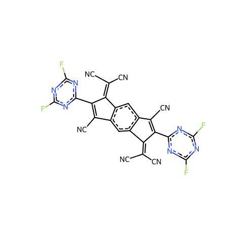 N#CC(C#N)=C1C(c2nc(F)nc(F)n2)=C(C#N)c2cc3c(cc21)C(C#N)=C(c1nc(F)nc(F)n1)C3=C(C#N)C#N